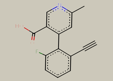 C#Cc1cccc(F)c1-c1cc(C)ncc1C(=O)O